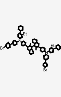 CCc1cc(N(c2ccc(-c3ccc(Br)cc3)cc2)c2ccc(-c3cc4ccccc4c(-c4c(C)c(-c5ccc(N(c6ccc(-c7ccc(Br)cc7)cc6)c6ccc(-c7ccccc7)c(CC)c6)cc5)cc5ccccc45)c3C)cc2)ccc1-c1ccccc1